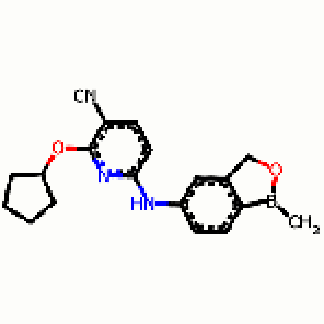 [C-]#[N+]c1ccc(Nc2ccc3c(c2)COB3C)nc1OC1CCCC1